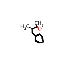 CC(=O)[C@H](C)Cc1ccccc1